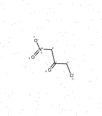 O=C(CCl)C[N+](=O)[O-]